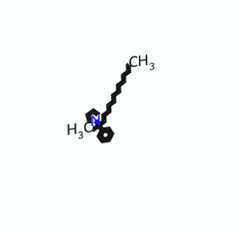 CCCCCCCCCCCCCC(CC)(c1ccccc1)N1CCCC1